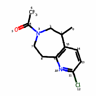 CC1CN(C(=O)C(F)(F)F)CCc2nc(Cl)ccc21